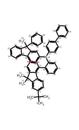 CC(C)(C)c1ccc2c(c1)C(C)(C)c1cccc(-c3ccccc3N(c3ccc(-c4ccccc4)cc3)c3ccc4c(c3)C(C)(c3ccccc3)c3ccccc3-4)c1-2